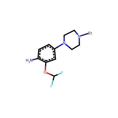 CCN1CCN(c2ccc(N)c(OC(F)F)c2)CC1